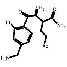 C=C(C(=O)c1ccc(CN)cc1CC)C(CCC(C)=O)C(N)=O